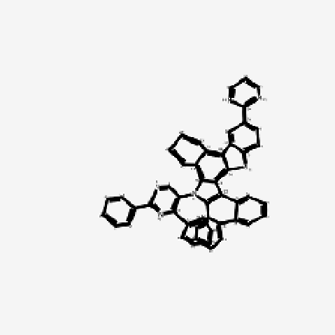 c1ccc(-c2ncc(-n3c4c5ccccc5c5ccccc5c4c4c5sc6ccc(-c7ncccn7)cc6c5c5ccccc5c43)c(-c3ccccc3)n2)cc1